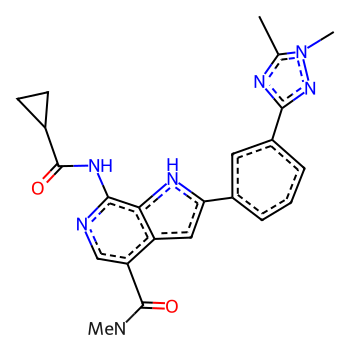 CNC(=O)c1cnc(NC(=O)C2CC2)c2[nH]c(-c3cccc(-c4nc(C)n(C)n4)c3)cc12